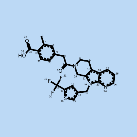 Cc1cc(CC(=O)N2CCc3c(n(Cc4csc(C(F)(F)F)c4)c4ncccc34)C2)ccc1C(=O)O